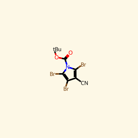 CC(C)(C)OC(=O)n1c(Br)c(Br)c(C#N)c1Br